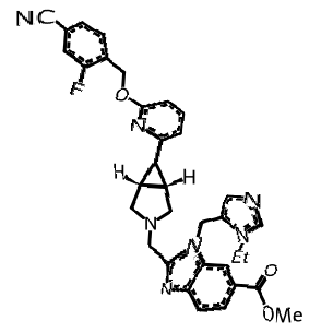 CCn1cncc1Cn1c(CN2C[C@@H]3C(c4cccc(OCc5ccc(C#N)cc5F)n4)[C@@H]3C2)nc2ccc(C(=O)OC)cc21